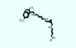 CCNCCCCNCC1CC1CNCCCCNCC1C(C)CC2CC(C)CC1C2